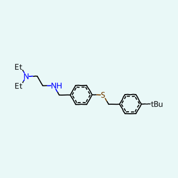 CCN(CC)CCNCc1ccc(SCc2ccc(C(C)(C)C)cc2)cc1